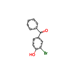 O=C(c1ccccc1)c1ccc(O)c(Br)c1